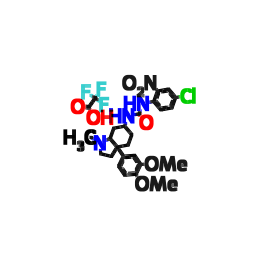 COc1ccc(C23CCC(NC(=O)Nc4ccc(Cl)cc4[N+](=O)[O-])CC2N(C)CC3)cc1OC.O=C(O)C(F)(F)F